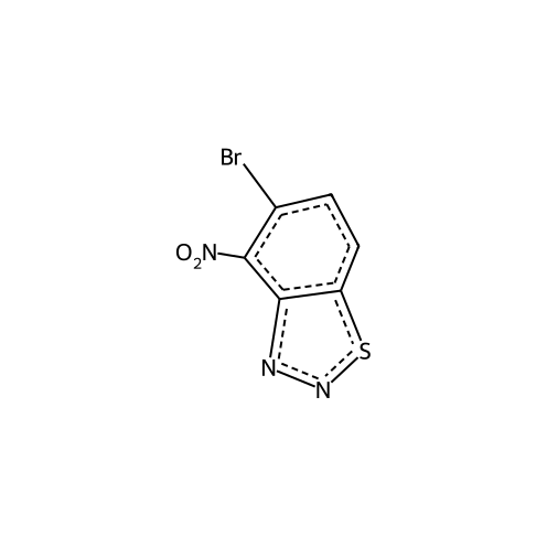 O=[N+]([O-])c1c(Br)ccc2snnc12